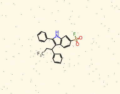 O=S(=O)(F)c1ccc2c(C(CC(F)(F)F)c3ccccc3)c(-c3ccccc3)[nH]c2c1